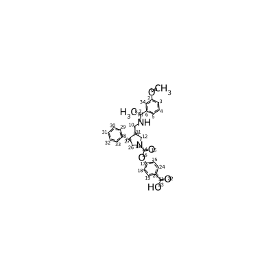 COc1cccc([C@@H](C)NC[C@H]2CN(C(=O)Oc3ccc(C(=O)O)cc3)C[C@@H]2c2ccccc2)c1